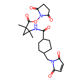 CC1(NC(=O)C2CCC(CN3C(=O)C=CC3=O)CC2)CC1(C)C(=O)ON1C(=O)CCC1=O